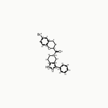 O=C(C1CCc2cc(Br)ccc2O1)N1CCc2[nH]nc(-c3ccccc3)c2C1